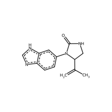 C=C(C)C1CNC(=O)N1c1ccc2nc[nH]c2c1